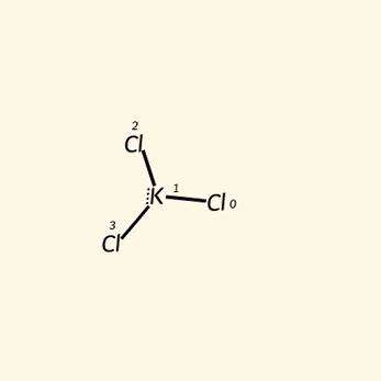 [Cl][K]([Cl])[Cl]